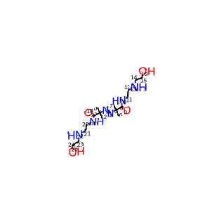 CC(C)(N=NC(C)(C)C(=O)NCCNCCO)C(=O)NCCNCCO